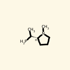 CC(P)[C@H]1CCCN1C